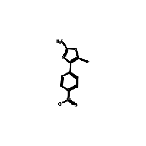 Cc1nc(-c2ccc([N+](=O)[O-])cc2)c(Br)s1